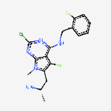 C[C@H](N)Cc1c(F)c2c(NCc3ccccc3F)nc(Cl)nc2n1C